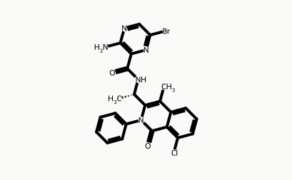 Cc1c([C@H](C)NC(=O)c2nc(Br)cnc2N)n(-c2ccccc2)c(=O)c2c(Cl)cccc12